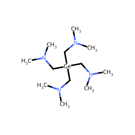 CN(C)[CH2][Ge]([CH2]N(C)C)([CH2]N(C)C)[CH2]N(C)C